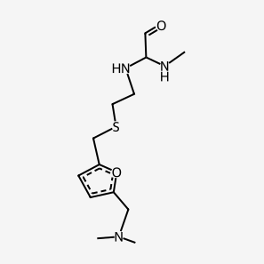 CNC(C=O)NCCSCc1ccc(CN(C)C)o1